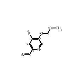 COCOc1cnc(C=O)cc1F